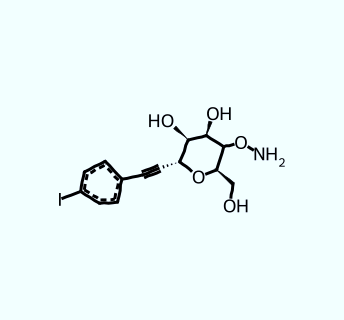 NOC1[C@@H](CO)O[C@H](C#Cc2ccc(I)cc2)[C@@H](O)[C@H]1O